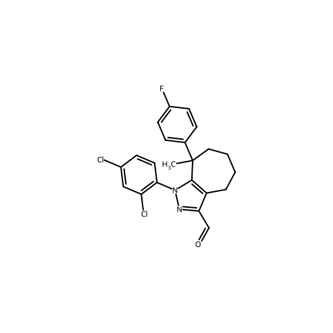 CC1(c2ccc(F)cc2)CCCCc2c(C=O)nn(-c3ccc(Cl)cc3Cl)c21